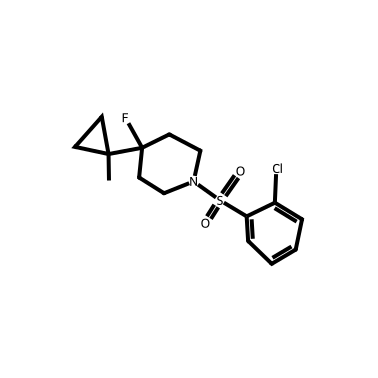 CC1(C2(F)CCN(S(=O)(=O)c3ccccc3Cl)CC2)CC1